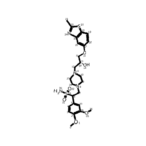 COc1ccc(C(CN2CCN(C[C@@H](O)COc3ccc4sc(C)nc4c3)CC2)S(N)(=O)=O)cc1OC